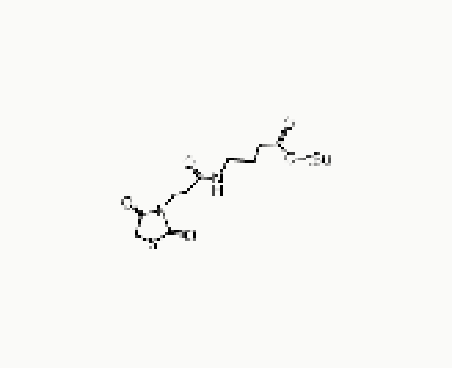 CC(C)(C)OC(=O)CCCNC(=O)CCN1C(=O)CSC1=O